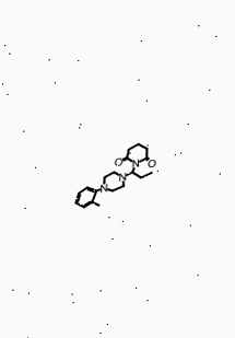 CCC(N1CCN(c2ccccc2C)CC1)N1C(=O)CCCC1=O